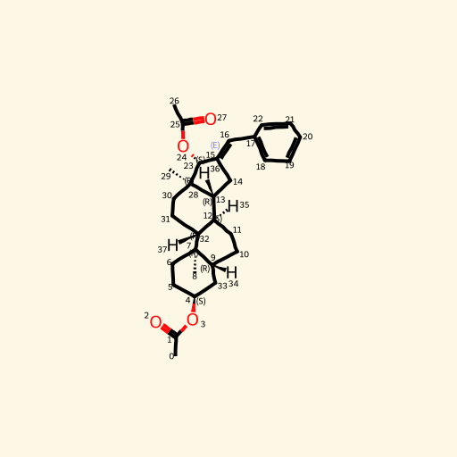 CC(=O)O[C@H]1CC[C@]2(C)[C@H](CC[C@@H]3[C@H]4C/C(=C\c5ccccc5)[C@@H](OC(C)=O)[C@]4(C)CC[C@H]32)C1